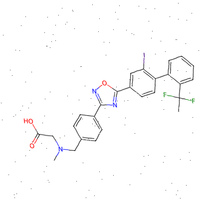 CN(CC(=O)O)Cc1ccc(-c2noc(-c3ccc(-c4ccccc4C(C)(F)F)c(I)c3)n2)cc1